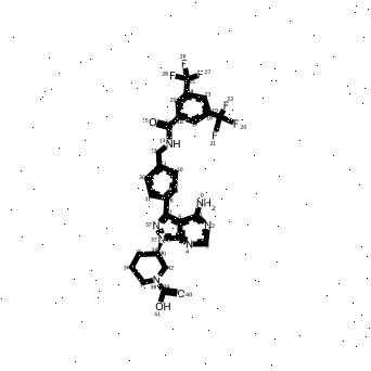 Nc1ncnc2c1c(-c1ccc(CNC(=O)c3cc(C(F)(F)F)cc(C(F)(F)F)c3)cc1)nn2[C@@H]1CCCN(C(=O)O)C1